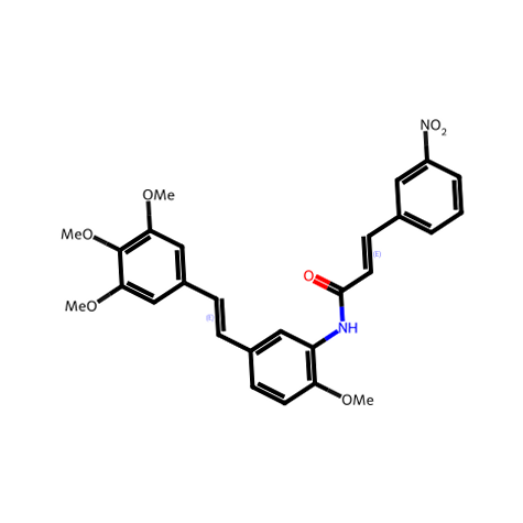 COc1ccc(/C=C/c2cc(OC)c(OC)c(OC)c2)cc1NC(=O)/C=C/c1cccc([N+](=O)[O-])c1